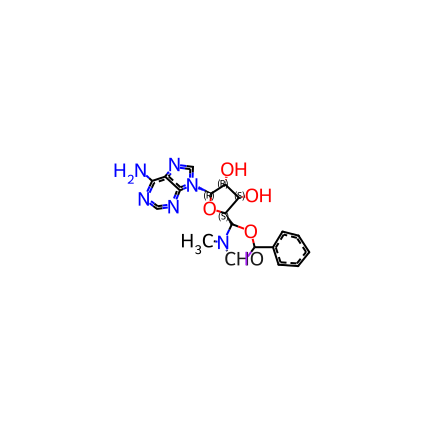 CN(C=O)C(OC(I)c1ccccc1)[C@H]1O[C@@H](n2cnc3c(N)ncnc32)[C@H](O)[C@@H]1O